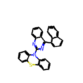 c1ccc2c(c1)Sc1ccccc1N2c1nc(-c2cccc3ccccc23)c2ccccc2n1